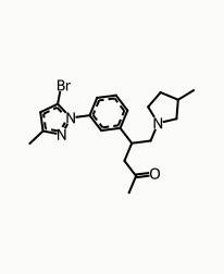 CC(=O)CC(CN1CCC(C)C1)c1cccc(-n2nc(C)cc2Br)c1